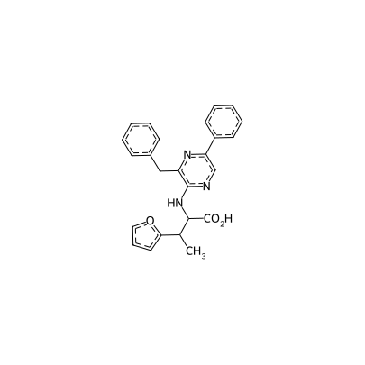 CC(c1ccco1)C(Nc1ncc(-c2ccccc2)nc1Cc1ccccc1)C(=O)O